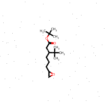 CC(C)(C)OC(=O)CC(CCCC1CO1)C(C)(C)C